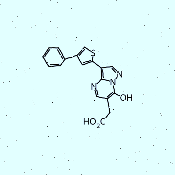 O=C(O)Cc1cnc2c(-c3cc(-c4ccccc4)cs3)cnn2c1O